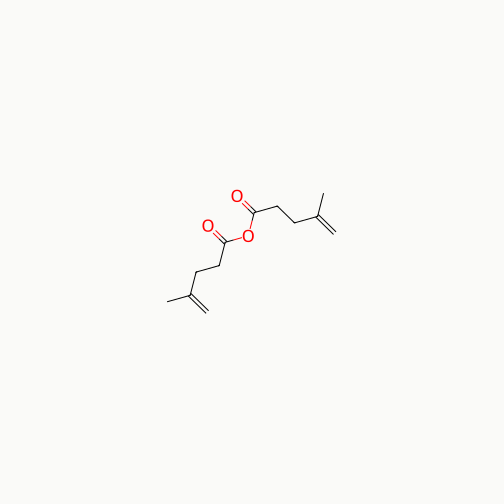 C=C(C)CCC(=O)OC(=O)CCC(=C)C